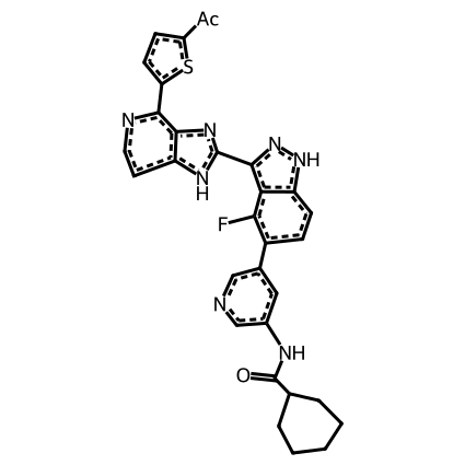 CC(=O)c1ccc(-c2nccc3[nH]c(-c4n[nH]c5ccc(-c6cncc(NC(=O)C7CCCCC7)c6)c(F)c45)nc23)s1